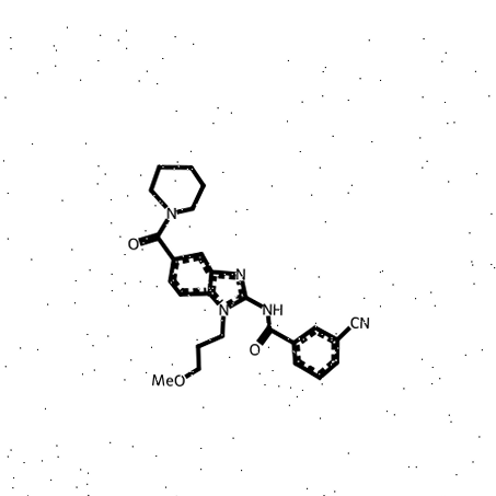 COCCCn1c(NC(=O)c2cccc(C#N)c2)nc2cc(C(=O)N3CCCCC3)ccc21